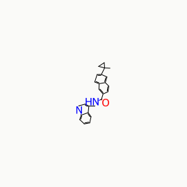 CC1(c2ccc3cc(C(=O)NCc4ccnc5ccccc45)ccc3c2)CC1